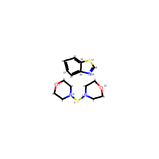 C1CN(SN2CCOCC2)CCO1.c1ccc2scnc2c1